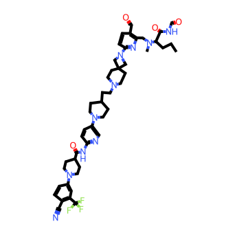 CCCC(C(=O)NC=O)N(C)Cc1nc(N2CC3(CCN(CCC4CCN(c5ccc(NC(=O)C6CCN(c7ccc(C#N)c(C(F)(F)F)c7)CC6)nc5)CC4)CC3)C2)ccc1C=O